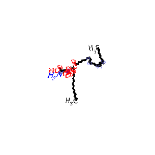 CCCCC/C=C\C/C=C\C/C=C\C/C=C\CCCCCC(=O)OC[C@H](COP(=O)(O)OC[C@H](N)C(=O)O)OC(=O)CCCCCCCCCCCC